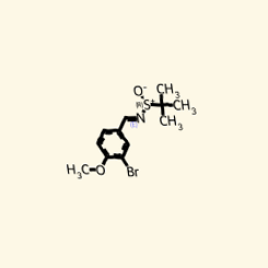 COc1ccc(/C=N/[S@@+]([O-])C(C)(C)C)cc1Br